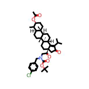 CC(=O)O[C@H]1CC[C@]2(C)[C@H]3CC[C@@H]4C5=C(C(C)C)C(=O)C[C@]5(C(=O)CN(Cc5ccc(Cl)cc5)C(=O)OC(C)(C)C)CC[C@@]4(C)[C@]3(C)CC[C@H]2C1C